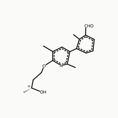 Cc1cc(-c2cccc(C=O)c2C)c(C)nc1OCC[C@@H](C)O